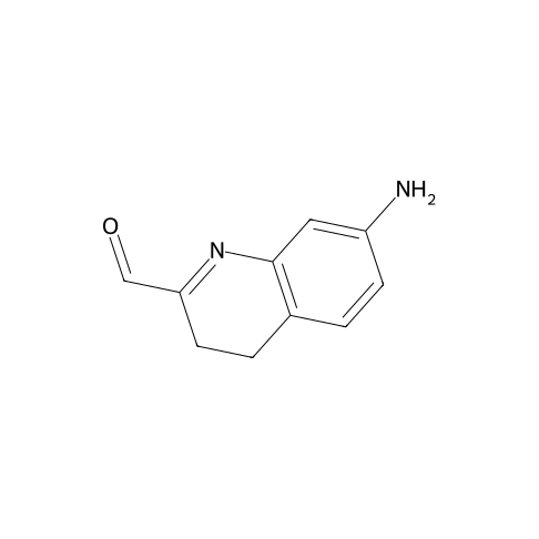 Nc1ccc2c(c1)N=C(C=O)CC2